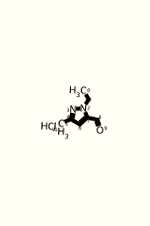 CCn1nc(C)cc1C=O.Cl